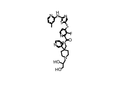 Cc1ccnc(Nc2ncc(Sc3ccnc(C(=O)NCC4(c5cccnc5)CCN(CC(O)CO)CC4)c3F)s2)c1